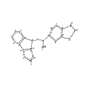 OC(CC1c2ccccc2-c2cncn21)c1ccc2c(c1)CCS2